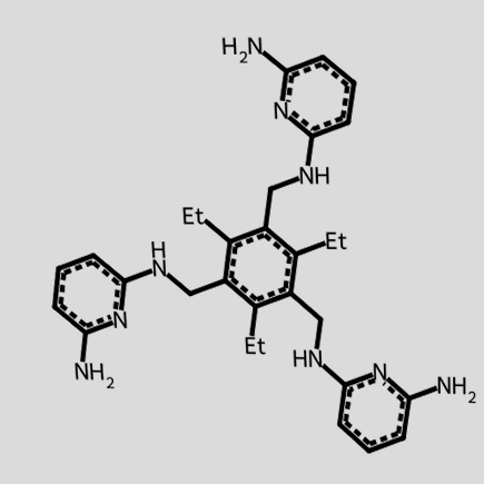 CCc1c(CNc2cccc(N)n2)c(CC)c(CNc2cccc(N)n2)c(CC)c1CNc1cccc(N)n1